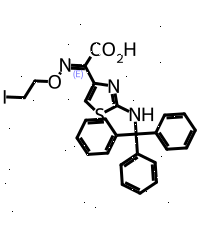 O=C(O)/C(=N/OCCI)c1csc(NC(c2ccccc2)(c2ccccc2)c2ccccc2)n1